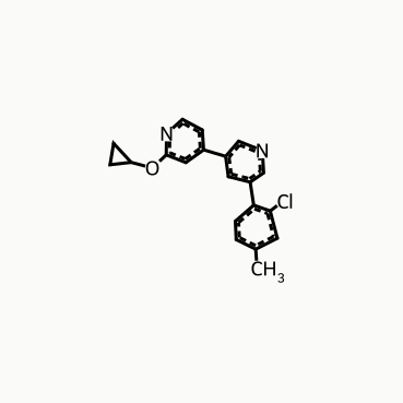 Cc1ccc(-c2cncc(-c3ccnc(OC4CC4)c3)c2)c(Cl)c1